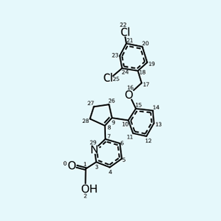 O=C(O)c1cccc(C2=C(c3ccccc3OCc3ccc(Cl)cc3Cl)CCC2)n1